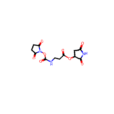 O=C1CC(OC(=O)CCNC(=O)ON2C(=O)CCC2=O)C(=O)N1